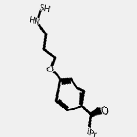 CC(C)C(=O)c1ccc(OCCCNS)cc1